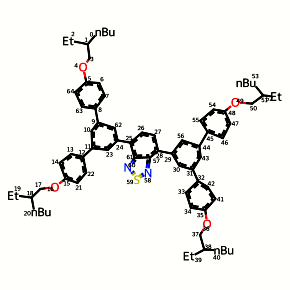 CCCCC(CC)COc1ccc(-c2cc(-c3ccc(OCC(CC)CCCC)cc3)cc(-c3ccc(-c4cc(-c5ccc(OCC(CC)CCCC)cc5)cc(-c5ccc(OCC(CC)CCCC)cc5)c4)c4nsnc34)c2)cc1